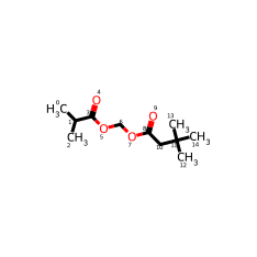 CC(C)C(=O)OCOC(=O)CC(C)(C)C